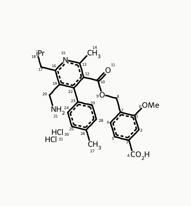 COc1cc(C(=O)O)ccc1COC(=O)c1c(C)nc(CC(C)C)c(CN)c1-c1ccc(C)cc1.Cl.Cl